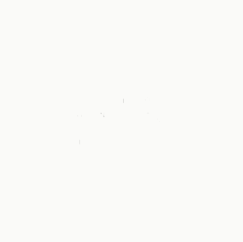 COC(=O)c1ccc2cc(F)c(O)nc2c1F